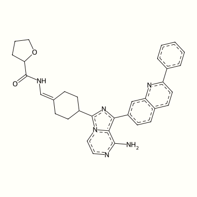 Nc1nccn2c(C3CCC(=CNC(=O)C4CCCO4)CC3)nc(-c3ccc4ccc(-c5ccccc5)nc4c3)c12